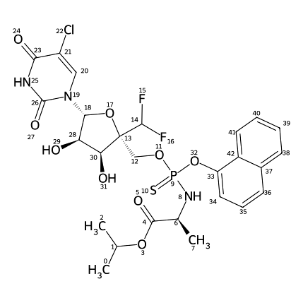 CC(C)OC(=O)[C@H](C)NP(=S)(OC[C@@]1(C(F)F)O[C@@H](n2cc(Cl)c(=O)[nH]c2=O)[C@H](O)[C@@H]1O)Oc1cccc2ccccc12